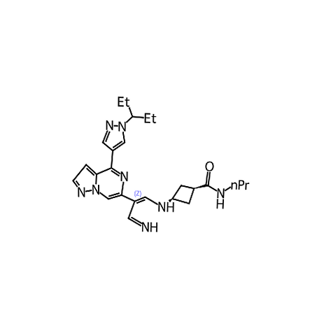 CCCNC(=O)[C@H]1C[C@@H](N/C=C(\C=N)c2cn3nccc3c(-c3cnn(C(CC)CC)c3)n2)C1